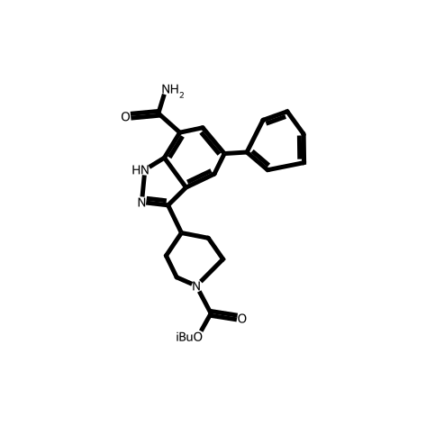 CC(C)COC(=O)N1CCC(c2n[nH]c3c(C(N)=O)cc(-c4ccccc4)cc23)CC1